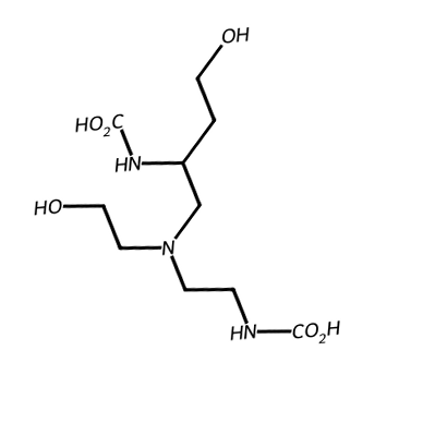 O=C(O)NCCN(CCO)CC(CCO)NC(=O)O